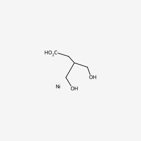 O=C(O)CC(CO)CO.[Ni]